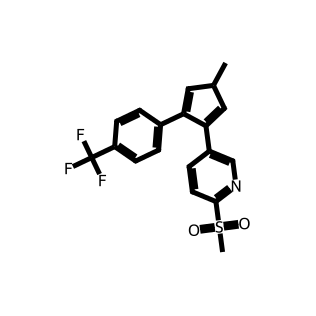 CC1C=C(c2ccc(C(F)(F)F)cc2)C(c2ccc(S(C)(=O)=O)nc2)=C1